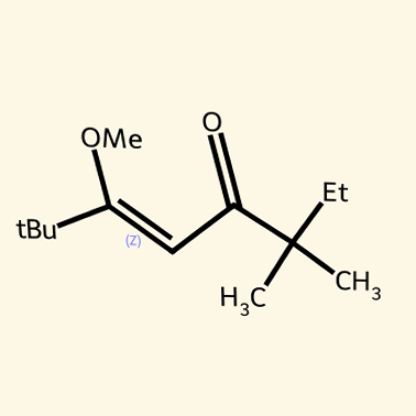 CCC(C)(C)C(=O)/C=C(\OC)C(C)(C)C